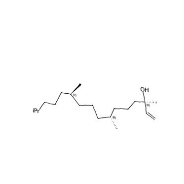 C=C[C@](C)(O)CCC[C@H](C)CCC[C@H](C)CCCC(C)C